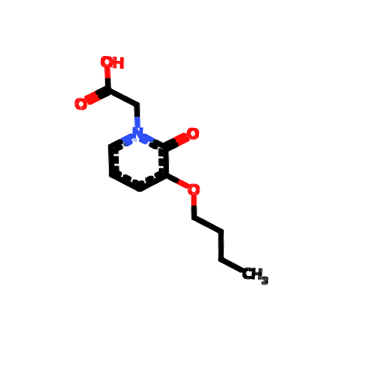 CCCCOc1cccn(CC(=O)O)c1=O